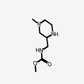 COC(=O)NCC1CN(C)CCN1